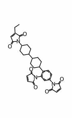 CCC1=CC(=O)N(C2CCC(C3CCC(c4ccc(N5C(=O)C=CC5=O)cc4N4C(=O)C=CC4=O)CC3)CC2)C1=O